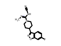 C/N=C(/NC#N)N1CCC(c2noc3cc(F)ccc23)CC1